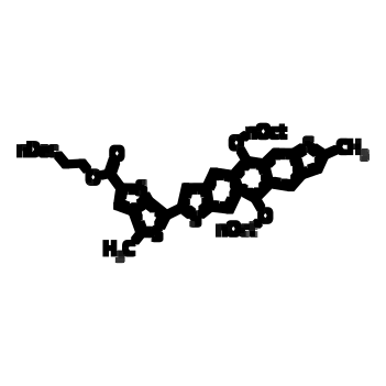 CCCCCCCCCCCCOC(=O)c1cc2c(C)sc(-c3cc4cc5c(OCCCCCCCC)c6cc7sc(C)cc7cc6c(OCCCCCCCC)c5cc4s3)c2s1